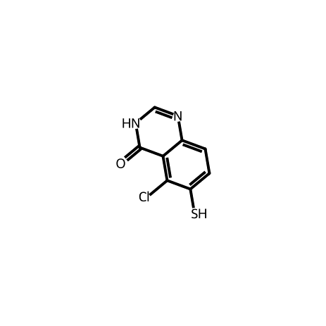 O=c1[nH]cnc2ccc(S)c(Cl)c12